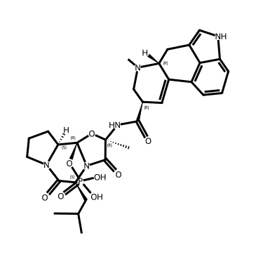 CC(C)C[C@H]1C(=O)N2CCC[C@H]2[C@]2(OP(=O)(O)O)O[C@@](C)(NC(=O)[C@@H]3C=C4c5cccc6[nH]cc(c56)C[C@H]4N(C)C3)C(=O)N12